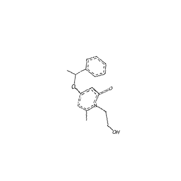 Cc1cc(OC(C)c2ccccc2)cc(=O)n1CCO